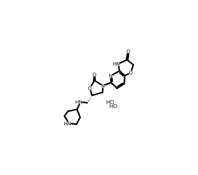 Cl.Cl.O=C1COc2ccc(N3C[C@H](CNC4CCNCC4)OC3=O)nc2N1